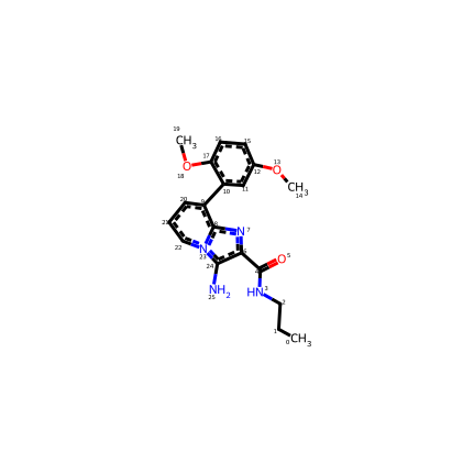 CCCNC(=O)c1nc2c(-c3cc(OC)ccc3OC)cccn2c1N